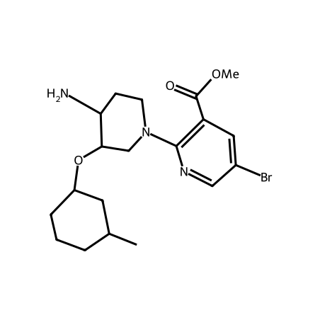 COC(=O)c1cc(Br)cnc1N1CCC(N)C(OC2CCCC(C)C2)C1